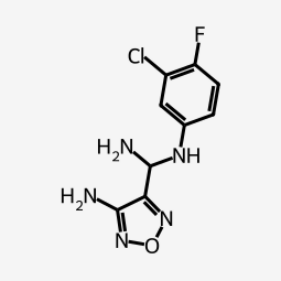 Nc1nonc1C(N)Nc1ccc(F)c(Cl)c1